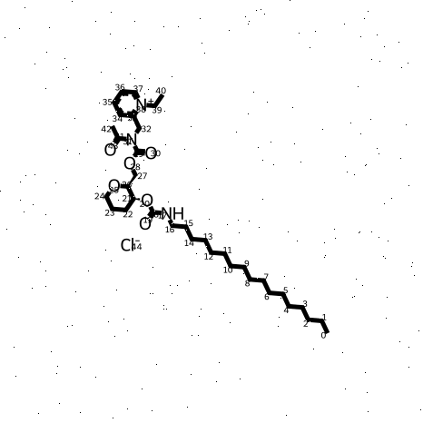 CCCCCCCCCCCCCCCCCNC(=O)O[C@@H]1CCCO[C@H]1COC(=O)N(Cc1cccc[n+]1CC)C(C)=O.[Cl-]